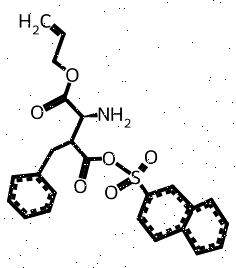 C=CCOC(=O)[C@@H](N)C(Cc1ccccc1)C(=O)OS(=O)(=O)c1ccc2ccccc2c1